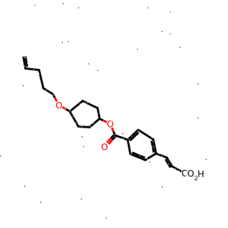 C=CCCCOC1CCC(OC(=O)c2ccc(/C=C/C(=O)O)cc2)CC1